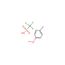 COc1ccc(I)cc1.O=S(=O)(O)C(F)(F)F